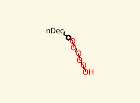 CCCCCCCCCCCCc1ccc(OCCOCCOCCOCCOCCO)cc1